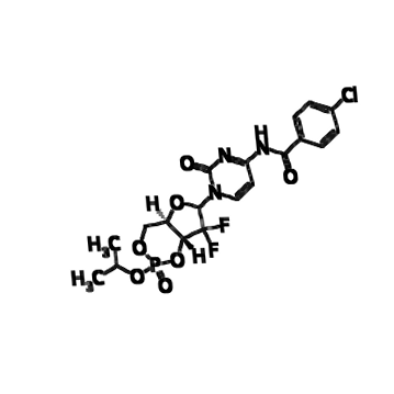 CC(C)OP1(=O)OC[C@H]2OC(n3ccc(NC(=O)c4ccc(Cl)cc4)nc3=O)C(F)(F)[C@@H]2O1